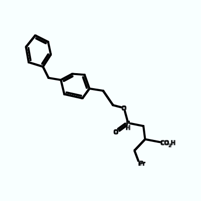 CC(C)CC(C[PH](=O)OCCc1ccc(Cc2ccccc2)cc1)C(=O)O